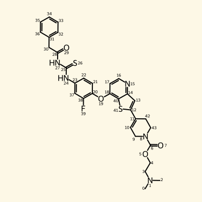 CN(C)CCOC(=O)N1CC=C(c2cc3nccc(Oc4ccc(NC(=S)NC(=O)Cc5ccccc5)cc4F)c3s2)CC1